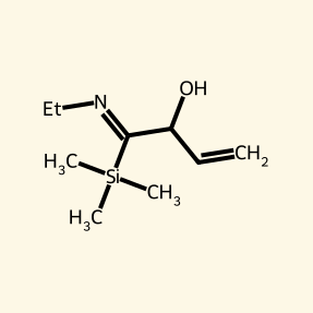 C=CC(O)C(=NCC)[Si](C)(C)C